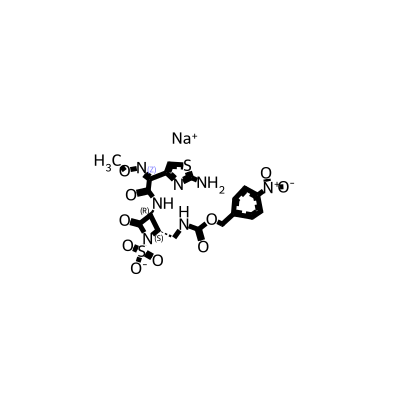 CO/N=C(\C(=O)N[C@H]1C(=O)N(S(=O)(=O)[O-])[C@H]1CNC(=O)OCc1ccc([N+](=O)[O-])cc1)c1csc(N)n1.[Na+]